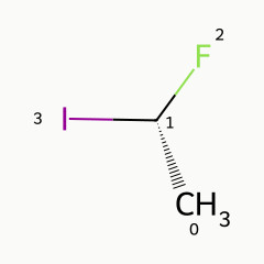 C[C@@H](F)I